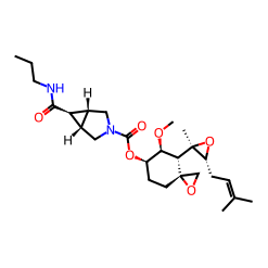 CCCNC(=O)[C@H]1[C@@H]2CN(C(=O)O[C@@H]3CC[C@]4(CO4)[C@@H]([C@@]4(C)O[C@@H]4CC=C(C)C)[C@@H]3OC)C[C@@H]21